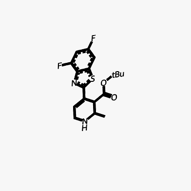 CC1NCC=C(c2nc3c(F)cc(F)cc3s2)C1C(=O)OC(C)(C)C